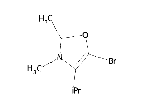 CC(C)C1=C(Br)OC(C)N1C